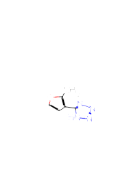 [CH2]c1occc1-c1nnn[nH]1